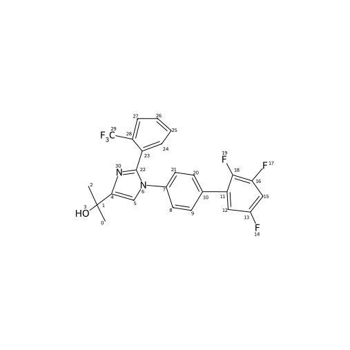 CC(C)(O)c1cn(-c2ccc(-c3cc(F)cc(F)c3F)cc2)c(-c2ccccc2C(F)(F)F)n1